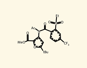 CCS(=O)(=O)c1cc(C(F)(F)F)ccc1C(=O)N(C(C)=O)c1cc(C(C)(C)C)oc1C(=O)OC